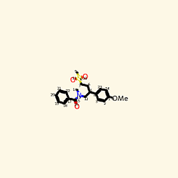 COc1ccc(C(CCS(C)(=O)=O)CN(C)C(=O)c2ccccc2)cc1